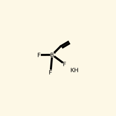 C=C[B-](F)(F)F.[KH]